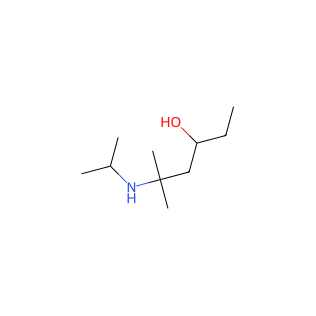 CCC(O)CC(C)(C)NC(C)C